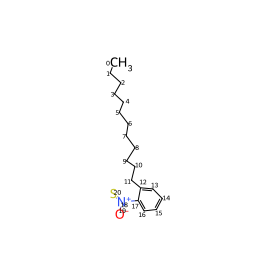 CCCCCCCCCCCCc1ccccc1[N+]([O-])=S